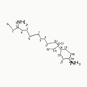 CCC(N)CCCCCCCCC(C)(CC)C1CCC(N)CC1